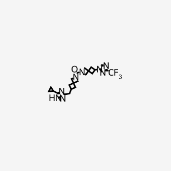 O=C(N1CC2(CC(Cc3n[nH]c(C4CC4)n3)C2)C1)N1CC2(CC(n3cnc(C(F)(F)F)n3)C2)C1